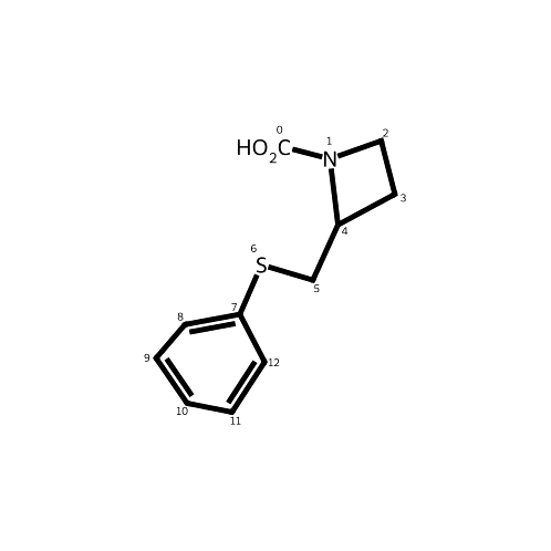 O=C(O)N1CCC1CSc1ccccc1